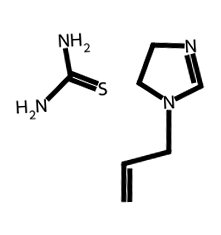 C=CCN1C=NCC1.NC(N)=S